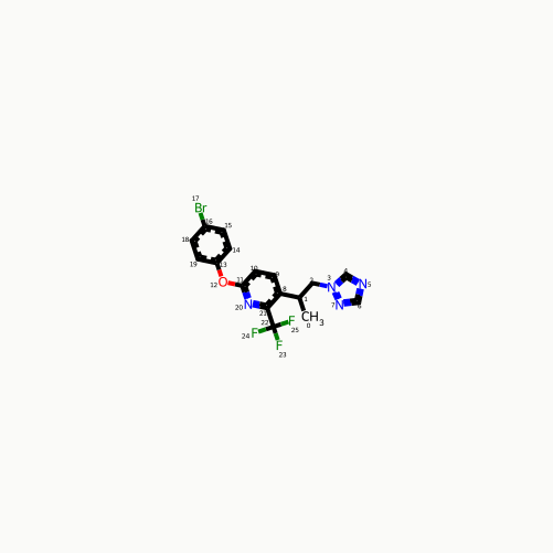 CC(Cn1cncn1)c1ccc(Oc2ccc(Br)cc2)nc1C(F)(F)F